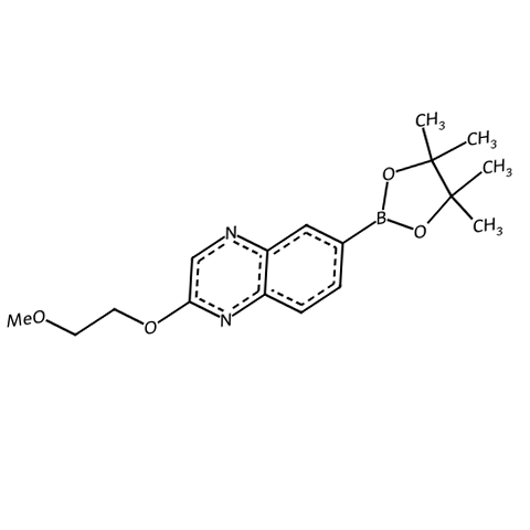 COCCOc1cnc2cc(B3OC(C)(C)C(C)(C)O3)ccc2n1